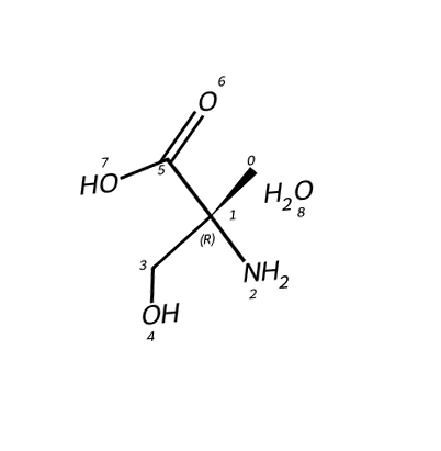 C[C@@](N)(CO)C(=O)O.O